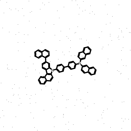 c1ccc2cc(N(c3ccc(-c4ccc(-n5c6cc(-c7cccc8ccccc78)ccc6c6c7ccccc7ccc65)cc4)cc3)c3ccc4ccccc4c3)ccc2c1